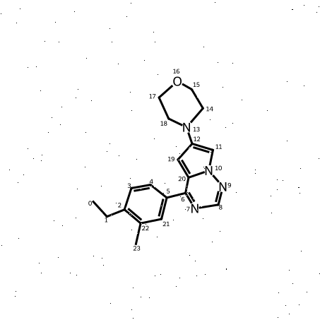 CCc1ccc(-c2ncnn3cc(N4CCOCC4)cc23)cc1C